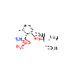 Cc1cccc(C)c1C(N)=O.O.O.O=C(O)CC(O)(CC(=O)O)C(=O)O